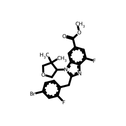 COC(=O)c1cc(F)c2nc(Cc3ccc(Br)cc3F)n(C3COCC3(C)C)c2c1